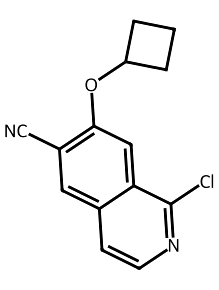 N#Cc1cc2ccnc(Cl)c2cc1OC1CCC1